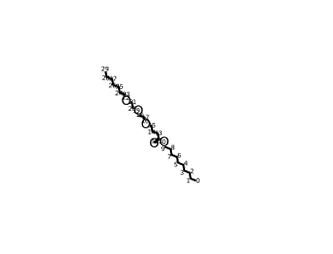 CCCCCCCCCCOC(=O)CCCOCCOCCOCCCCCCC